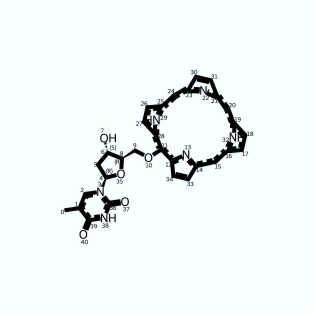 Cc1cn([C@H]2C[C@H](O)[C@@H](COc3c4nc(cc5ccc(cc6nc(cc7ccc3[nH]7)C=C6)[nH]5)C=C4)O2)c(=O)[nH]c1=O